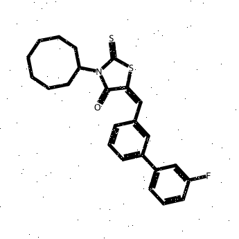 O=C1/C(=C\c2cccc(-c3cccc(F)c3)c2)SC(=S)N1C1CCCCCCC1